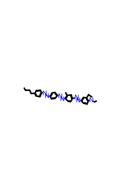 CCCCc1ccc(N=Nc2ccc(N=Nc3ccc(N=Nc4ccc5c(c4)CCN5CC)cc3C)cc2)cc1